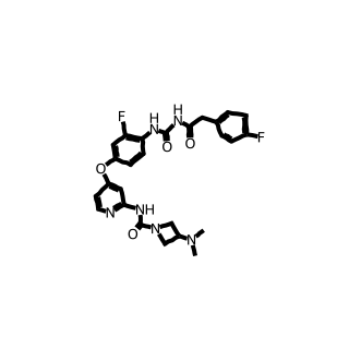 CN(C)C1CN(C(=O)Nc2cc(Oc3ccc(NC(=O)NC(=O)Cc4ccc(F)cc4)c(F)c3)ccn2)C1